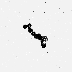 O=C(NS(=O)(=O)c1ccc(NCCSc2nccs2)c([N+](=O)[O-])c1)c1ccc(N2CCN(Cc3ccccc3-c3ccccc3)CC2)cc1